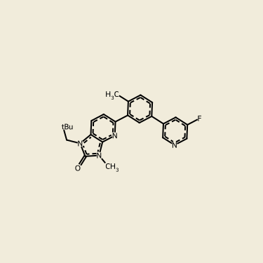 Cc1ccc(-c2cncc(F)c2)cc1-c1ccc2c(n1)n(C)c(=O)n2CC(C)(C)C